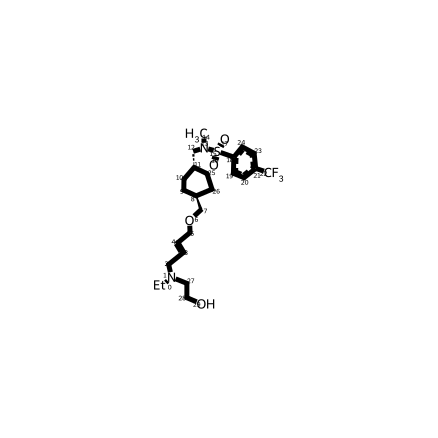 CCN(CC=CCOC[C@H]1CC[C@H](CN(C)S(=O)(=O)c2ccc(C(F)(F)F)cc2)CC1)CCO